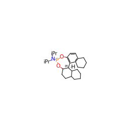 CC(C)N(C(C)C)P1Oc2ccc3c(c2[C@@H]2C(CCC4CCCCC42)O1)CCCC3